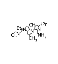 CC[C@H](CN1CCOCC1)N1CC(C)=C2C1=CC(C)=CN2c1ccc(C(C)C)nc1CN